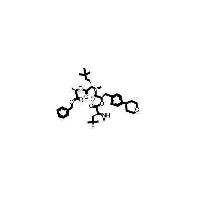 CN[C@@H](CC(C)(C)F)C(=O)O[C@H](Cc1ccc(C2CCOCC2)cc1)C(=O)N(C)[C@@H](CCC(C)(C)C)C(=O)O[C@H](C)C(=O)OCc1ccccc1